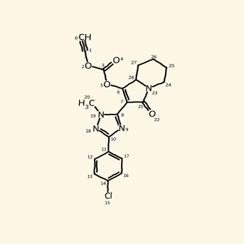 C#COC(=O)OC1=C(c2nc(-c3ccc(Cl)cc3)nn2C)C(=O)N2CCCCC12